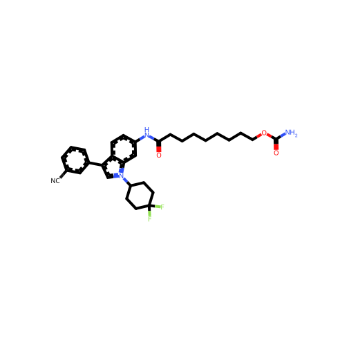 N#Cc1cccc(-c2cn(C3CCC(F)(F)CC3)c3cc(NC(=O)CCCCCCCCOC(N)=O)ccc23)c1